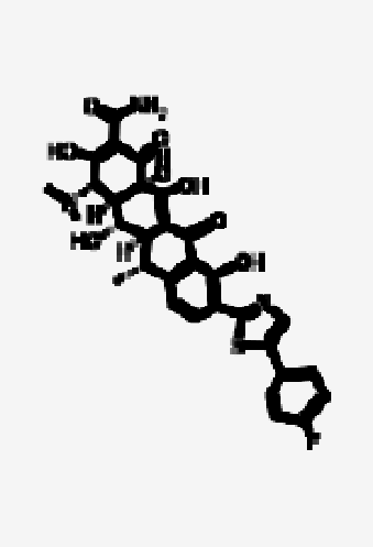 C[C@H]1c2ccc(-c3ncc(-c4ccc(F)cc4)s3)c(O)c2C(=O)C2=C(O)[C@]3(O)C(=O)C(C(N)=O)=C(O)[C@@H](N(C)C)[C@@H]3[C@@H](O)[C@@H]21